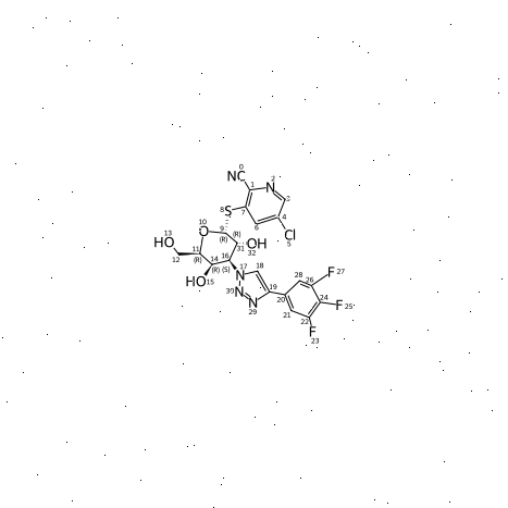 N#Cc1ncc(Cl)cc1S[C@H]1O[C@H](CO)[C@H](O)[C@H](n2cc(-c3cc(F)c(F)c(F)c3)nn2)[C@H]1O